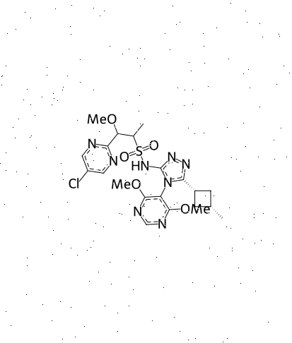 COc1ncnc(OC)c1-n1c(NS(=O)(=O)C(C)C(OC)c2ncc(Cl)cn2)nnc1[C@H]1C[C@@H](C)C1